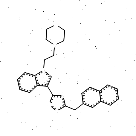 c1ccc2cc(Cc3noc(-c4cn(CCN5CCOCC5)c5ccccc45)n3)ccc2c1